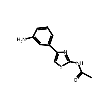 CC(=O)Nc1nc(-c2cccc(N)c2)cs1